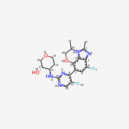 Cc1nc2c(F)cc(-c3nc(N[C@@H]4CCOC[C@H]4O)ncc3F)c3c2n1C(C)CO3